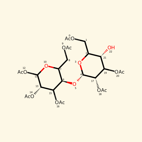 CC(=O)OCC1O[C@@H](O[C@@H]2C(COC(C)=O)OC(OC(C)=O)[C@@H](OC(C)=O)C2OC(C)=O)[C@@H](OC(C)=O)C(OC(C)=O)[C@H]1O